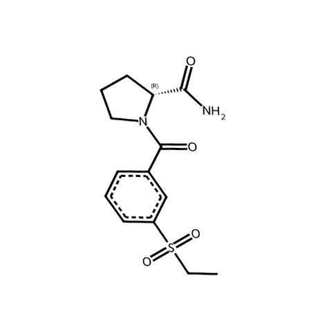 CCS(=O)(=O)c1cccc(C(=O)N2CCC[C@@H]2C(N)=O)c1